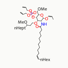 C=CCOP(=O)(OCC=C)O[C@@H]1C(COC)OC(O/C=C\C)[C@H](NC(=O)CCCCCCCCC/C=C\CCCCCC)C1OCCC(CCCCCCC)OC